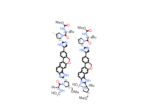 CC[C@@H](C)[C@H](NC(=O)OC)C(=O)N1C[C@@H](C)C[C@H]1c1ncc(-c2ccc3c(c2)COc2cc4c(ccc5nc([C@@H]6C[C@H](COC)CN6C(=O)[C@@H](NC(=O)O)C(C)C)[nH]c54)cc2-3)[nH]1.CC[C@@H](C)[C@H](NC(=O)OC)C(=O)N1C[C@@H](C)C[C@H]1c1ncc(-c2ccc3c(c2)COc2cc4c(ccc5nc([C@@]6(C(C)(C)C)C[C@H](COC)CN6C(=O)O)[nH]c54)cc2-3)[nH]1